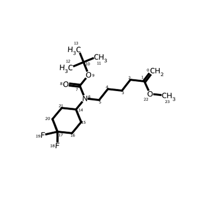 C=C(CCCCN(C(=O)OC(C)(C)C)C1CCC(F)(F)CC1)OC